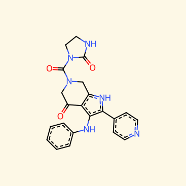 O=C1CN(C(=O)N2CCNC2=O)Cc2[nH]c(-c3ccncc3)c(Nc3ccccc3)c21